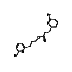 O=C(CCc1cccc(Br)n1)OCCCc1cccc(Br)n1